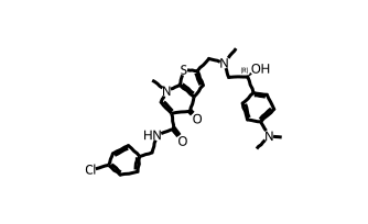 CN(Cc1cc2c(=O)c(C(=O)NCc3ccc(Cl)cc3)cn(C)c2s1)C[C@H](O)c1ccc(N(C)C)cc1